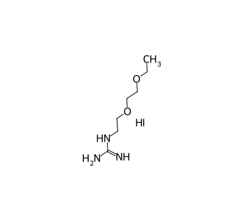 CCOCCOCCNC(=N)N.I